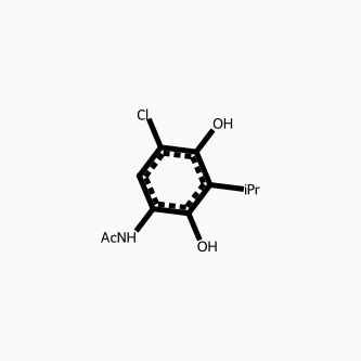 CC(=O)Nc1cc(Cl)c(O)c(C(C)C)c1O